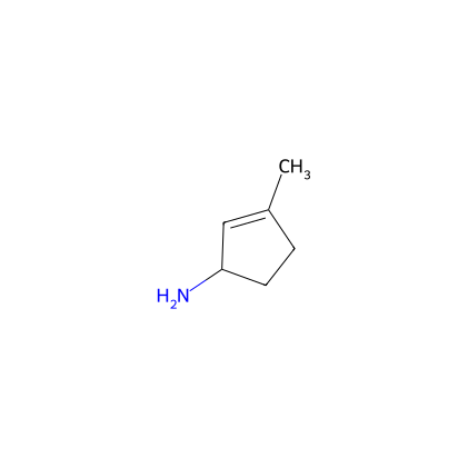 CC1=CC(N)CC1